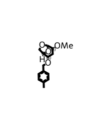 CO[C@@H]1C[C@H](OCc2ccc(C)cc2)[C@H]2COC1O2